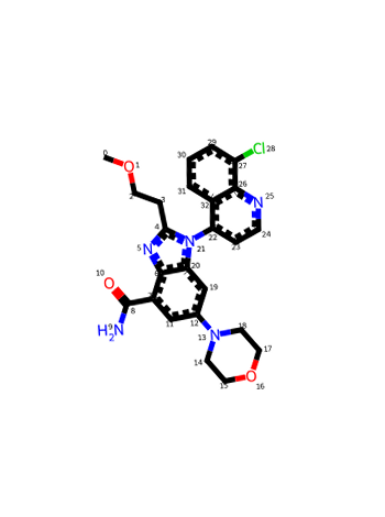 COCCc1nc2c(C(N)=O)cc(N3CCOCC3)cc2n1-c1ccnc2c(Cl)cccc12